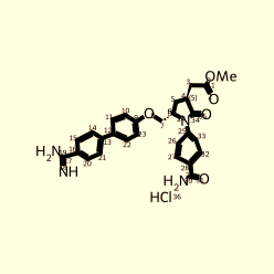 COC(=O)C[C@@H]1C[C@@H](COc2ccc(-c3ccc(C(=N)N)cc3)cc2)N(c2ccc(C(N)=O)cc2)C1=O.Cl